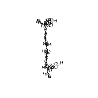 O=C(O)CC(NC(=O)[C@H](COCCOCCOCCOC(=O)NCCCCNC(=O)OCCOCCOCCOC[C@H](NC(=O)CCCCNc1ccccn1)C(=O)NC(CC(=O)O)c1cc(Cl)cc(Cl)c1)NC(=O)CCCCNc1ccccn1)c1cc(Cl)cc(Cl)c1